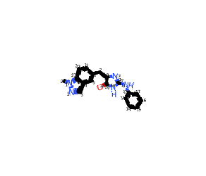 Cn1ncc2cc(C=C3N=C(Nc4ccccc4)NC3=O)ccc21